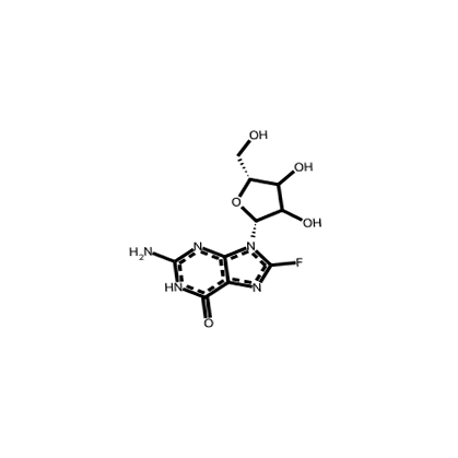 Nc1nc2c(nc(F)n2[C@@H]2O[C@H](CO)C(O)C2O)c(=O)[nH]1